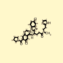 CN(CCc1ncc[nH]1)C(=O)CCC(Nc1ncnc2cc(C(=O)N3CCCC3)c(Cl)cc12)c1nc2cc(Cl)ccc2[nH]1